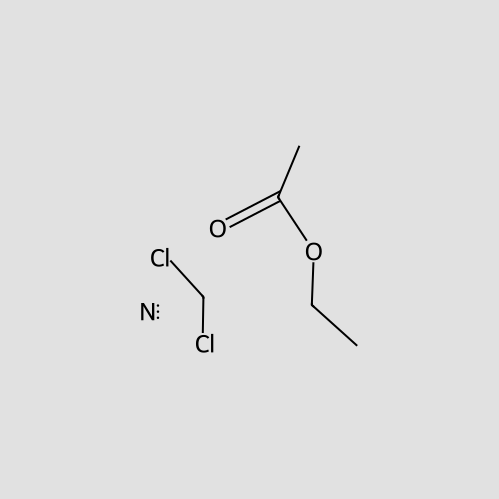 CCOC(C)=O.ClCCl.[N]